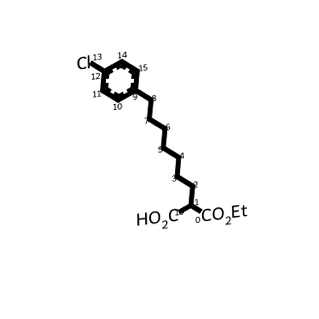 CCOC(=O)C(CCCCCCCc1ccc(Cl)cc1)C(=O)O